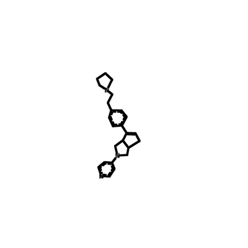 C1=C(c2ccc(CCN3CCCC3)cc2)C2CN(c3ccncc3)CC2C1